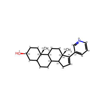 C[C@]12CC[C@H](O)CC1CCC1C2CC[C@]2(C)C(c3cccnc3)=CCC12